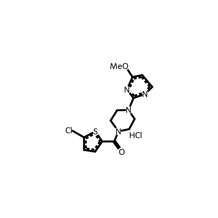 COc1ccnc(N2CCN(C(=O)c3ccc(Cl)s3)CC2)n1.Cl